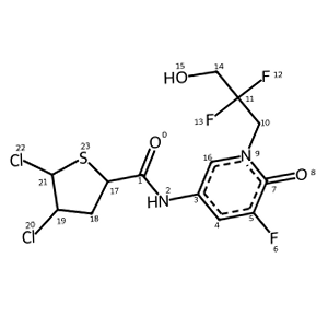 O=C(Nc1cc(F)c(=O)n(CC(F)(F)CO)c1)C1CC(Cl)C(Cl)S1